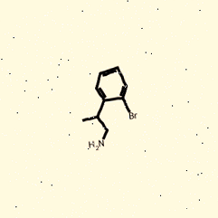 CC(CN)c1ccccc1Br